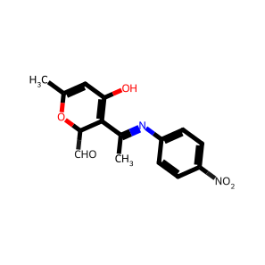 CC1=CC(O)=C(C(C)=Nc2ccc([N+](=O)[O-])cc2)C(C=O)O1